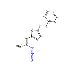 [N-]=[N+]=N/C(C=O)=C\c1ccc(CCc2ccccc2)s1